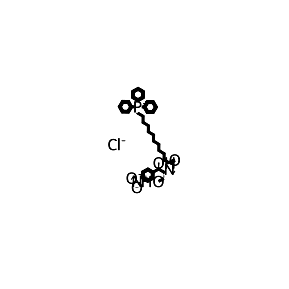 CN(C(=O)CCCCCCCCCCC[P+](c1ccccc1)(c1ccccc1)c1ccccc1)[C@H](CO)[C@H](O)c1ccc([N+](=O)[O-])cc1.[Cl-]